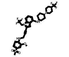 COc1cc(S(C)(=O)=O)ccc1NCC#Cc1cc2c(N[C@H]3CC[C@@H](N4CCC(C(F)(F)F)CC4)CC3)cccc2n1CC(F)(F)F